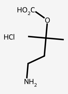 CC(C)(CCN)OC(=O)O.Cl